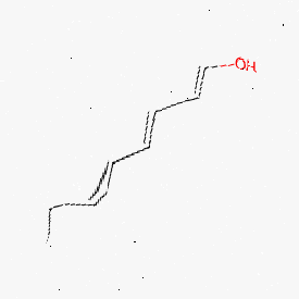 CCC=CC=CC=CO